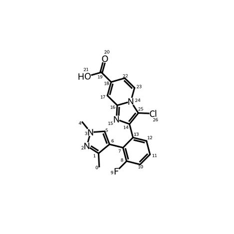 Cc1nn(C)cc1-c1c(F)cccc1-c1nc2cc(C(=O)O)ccn2c1Cl